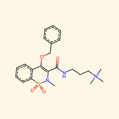 CN1C(C(=O)NCCC[N+](C)(C)C)=C(OCc2ccccc2)c2ccccc2S1(=O)=O